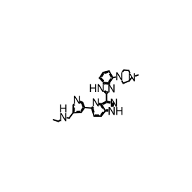 CCNCc1cncc(-c2ccc3[nH]nc(-c4nc5c(N6CCN(C)CC6)cccc5[nH]4)c3n2)c1